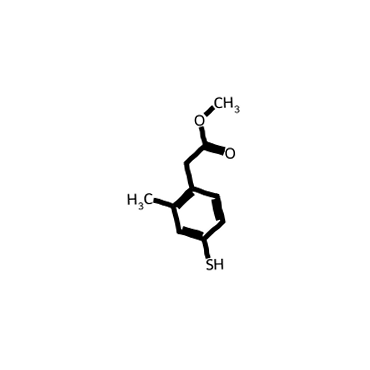 COC(=O)Cc1ccc(S)cc1C